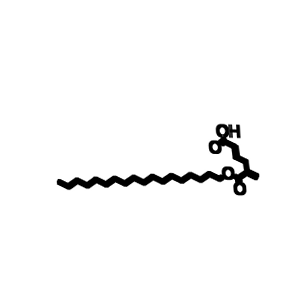 C=C(CC=CC(=O)O)C(=O)OCCCCCCCCCCCCCCCCCC